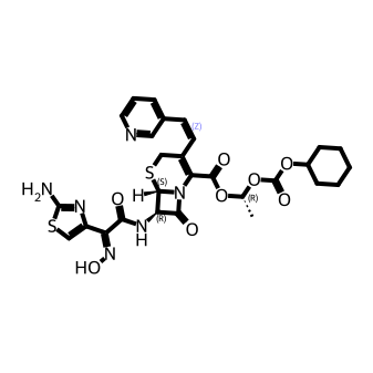 C[C@@H](OC(=O)OC1CCCCC1)OC(=O)C1=C(/C=C\c2cccnc2)CS[C@H]2[C@H](NC(=O)C(=NO)c3csc(N)n3)C(=O)N12